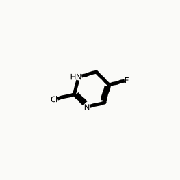 FC1=CN=C(Cl)N[CH]1